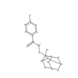 Cc1ccc(C(=O)OCC2(C)C3CC4CC(C3)CC2C4)cc1